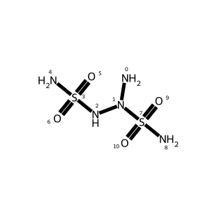 NN(NS(N)(=O)=O)S(N)(=O)=O